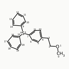 COCCc1ccc([S+](c2ccccc2)c2ccccc2)cc1